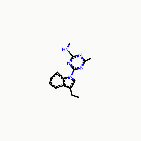 CCc1cn(-c2nc(C)nc(NC)n2)c2ccccc12